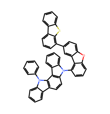 c1ccc(-n2c3ccccc3c3ccc4c(c5ccccc5n4-c4cccc5oc6ccc(-c7cccc8c7sc7ccccc78)cc6c45)c32)cc1